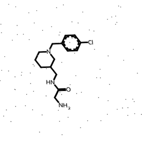 NCC(=O)NCC1CCCN(Cc2ccc(Cl)cc2)C1